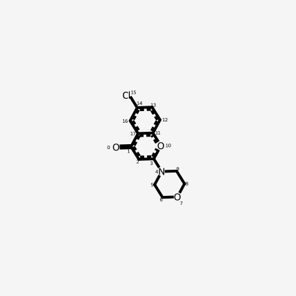 O=c1cc(N2CCOCC2)oc2ccc(Cl)cc12